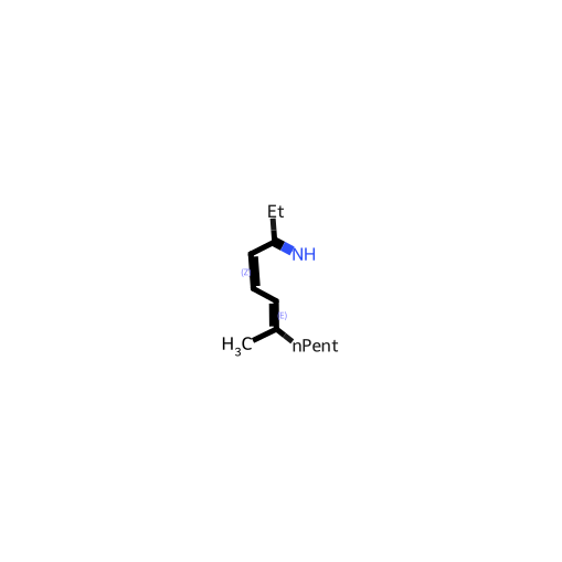 CCCCC/C(C)=C/C=C\C(=N)CC